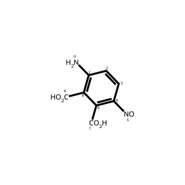 Nc1ccc(N=O)c(C(=O)O)c1C(=O)O